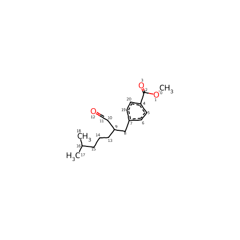 COC(=O)c1ccc(CC(CC=O)CCCC(C)C)cc1